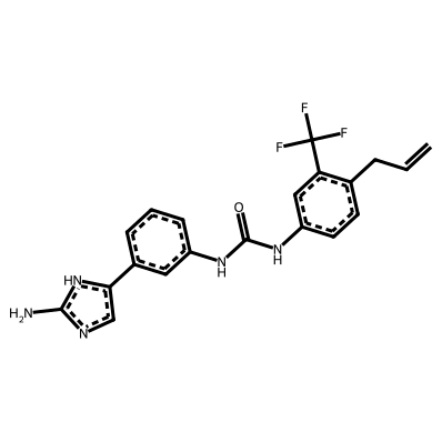 C=CCc1ccc(NC(=O)Nc2cccc(-c3cnc(N)[nH]3)c2)cc1C(F)(F)F